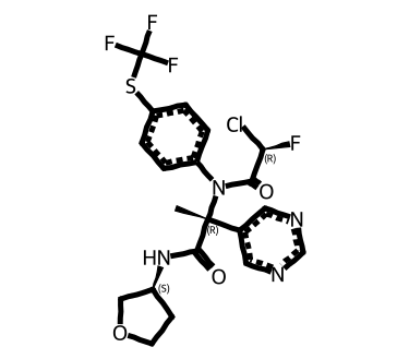 C[C@](C(=O)N[C@H]1CCOC1)(c1cncnc1)N(C(=O)[C@H](F)Cl)c1ccc(SC(F)(F)F)cc1